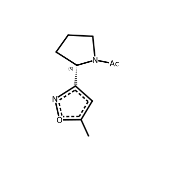 CC(=O)N1CCC[C@H]1c1cc(C)on1